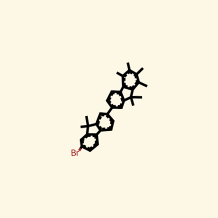 Cc1c(C)c(C)c2c(c1C)-c1ccc(-c3ccc4c(c3)C(C)(C)c3cc(Br)ccc3-4)cc1C2(C)C